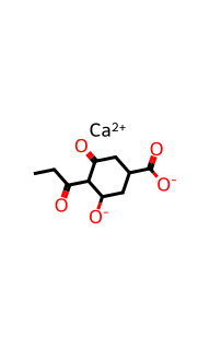 CCC(=O)C1C(=O)CC(C(=O)[O-])CC1[O-].[Ca+2]